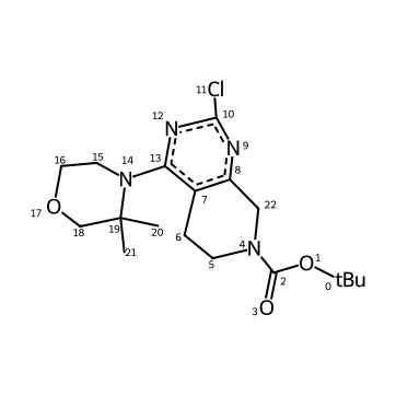 CC(C)(C)OC(=O)N1CCc2c(nc(Cl)nc2N2CCOCC2(C)C)C1